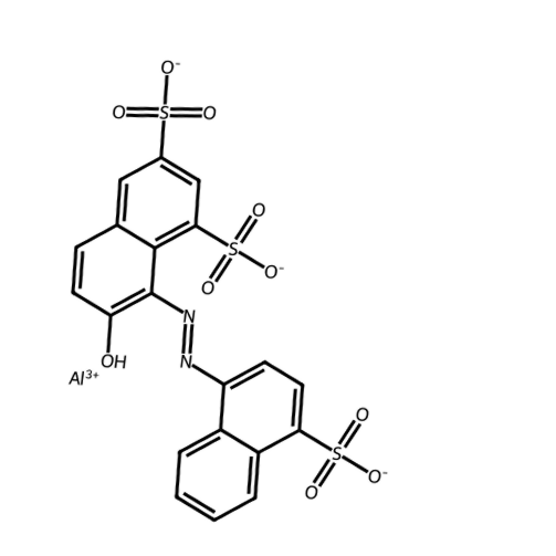 O=S(=O)([O-])c1cc(S(=O)(=O)[O-])c2c(N=Nc3ccc(S(=O)(=O)[O-])c4ccccc34)c(O)ccc2c1.[Al+3]